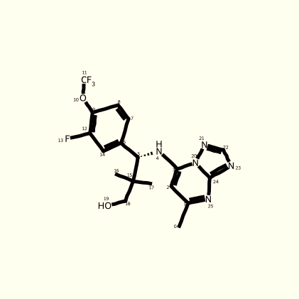 Cc1cc(N[C@@H](c2ccc(OC(F)(F)F)c(F)c2)C(C)(C)CO)n2ncnc2n1